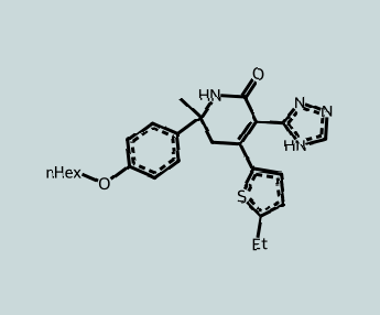 CCCCCCOc1ccc(C2(C)CC(c3ccc(CC)s3)=C(c3nnc[nH]3)C(=O)N2)cc1